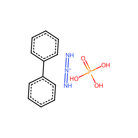 N=[N+]=N.O=P(O)(O)O.c1ccc(-c2ccccc2)cc1